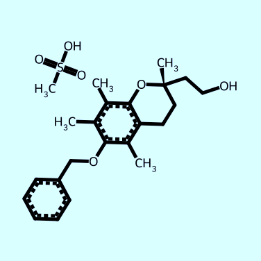 CS(=O)(=O)O.Cc1c(C)c2c(c(C)c1OCc1ccccc1)CC[C@@](C)(CCO)O2